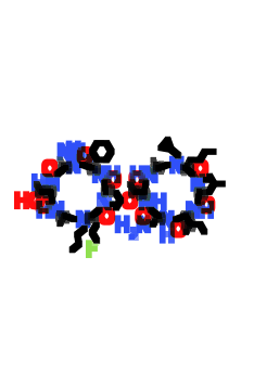 CCCC[C@H]1C(=O)N(C)[C@@H](CC(C)C)C(=O)N[C@@H]([C@H](C)CC)C(=O)N[C@@H](CN)C(=O)N[C@@H]([C@H](C)OC(C)C[C@H]2C(=O)N[C@@H](C3CCCCC3)C(=O)N[C@@H](CN)C(=O)N[C@@H]([C@H](C)O)C(=O)N[C@H](C)CN(CCCC)[C@@H](CCCF)C(=O)N2C)C(=O)N[C@H](C)CN1CC1CC1